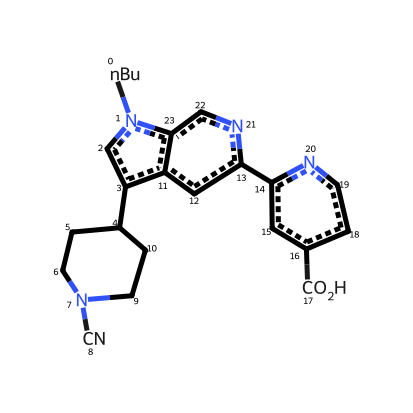 CCCCn1cc(C2CCN(C#N)CC2)c2cc(-c3cc(C(=O)O)ccn3)ncc21